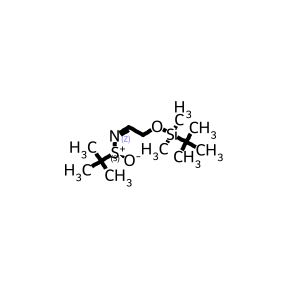 CC(C)(C)[S@@+]([O-])/N=C\CO[Si](C)(C)C(C)(C)C